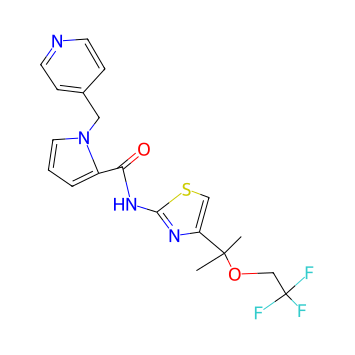 CC(C)(OCC(F)(F)F)c1csc(NC(=O)c2cccn2Cc2ccncc2)n1